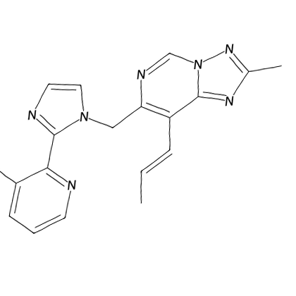 CC=Cc1c(Cn2ccnc2-c2ncccc2F)ncn2nc(C)nc12